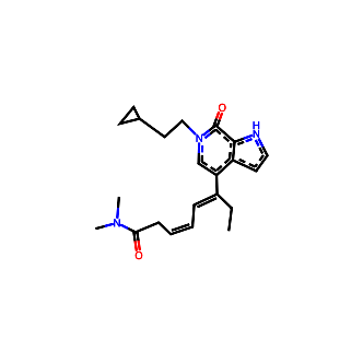 CC/C(=C\C=C/CC(=O)N(C)C)c1cn(CCC2CC2)c(=O)c2[nH]ccc12